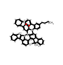 CCCCc1ccc(N2c3cc4oc5ccccc5c4cc3B3c4c2cc2c(c4-c4cccc5c6c7ccccc7sc6n3c45)C(C)(C)c3ccccc3-2)c(-c2ccccc2)c1